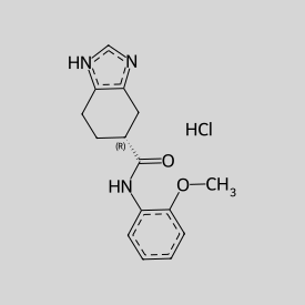 COc1ccccc1NC(=O)[C@@H]1CCc2[nH]cnc2C1.Cl